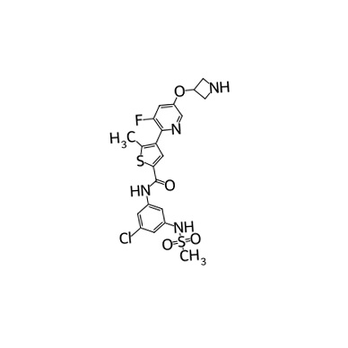 Cc1sc(C(=O)Nc2cc(Cl)cc(NS(C)(=O)=O)c2)cc1-c1ncc(OC2CNC2)cc1F